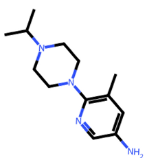 Cc1cc(N)cnc1N1CCN(C(C)C)CC1